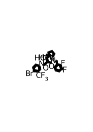 CC12CCCN1N(Cc1cccc(F)c1F)C(=O)C(C(=O)Nc1ccc(Br)c(C(F)(F)F)c1)=C2O